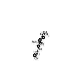 COc1ccc(-c2cccc(C(=O)N(C)C)c2)cc1S(=O)(=O)Nc1cccc(NCCNC(=O)c2cccc(C#N)c2)c1